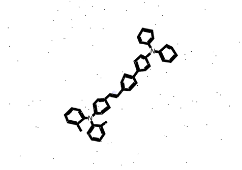 Cc1ccccc1N(c1ccc(/C=C/c2ccc(-c3ccc(N(c4ccccc4)c4ccccc4)cc3)cc2)cc1)c1ccccc1C